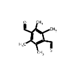 Cc1c(C)c(C=S)c(C)c(C)c1C=O